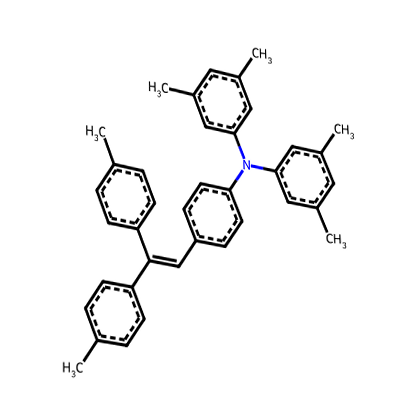 Cc1ccc(C(=Cc2ccc(N(c3cc(C)cc(C)c3)c3cc(C)cc(C)c3)cc2)c2ccc(C)cc2)cc1